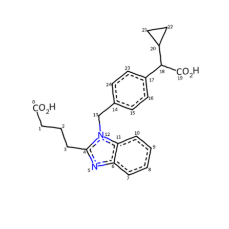 O=C(O)CCCc1nc2ccccc2n1Cc1ccc(C(C(=O)O)C2CC2)cc1